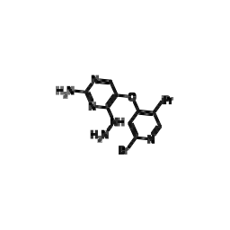 CC(C)c1cnc(Br)cc1Oc1cnc(N)nc1NN